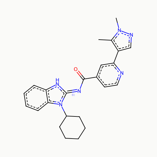 Cc1c(-c2cc(C(=O)/N=c3\[nH]c4ccccc4n3C3CCCCC3)ccn2)cnn1C